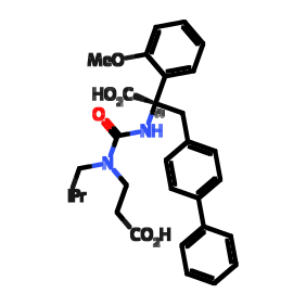 COc1ccccc1[C@](Cc1ccc(-c2ccccc2)cc1)(NC(=O)N(CCC(=O)O)CC(C)C)C(=O)O